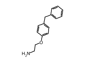 NCCOc1ccc(Cc2ccccc2)cc1